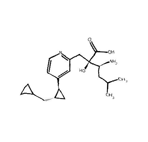 CC(C)C[C@H](N)[C@](O)(Cc1cc([C@H]2C[C@@H]2CC2CC2)ccn1)C(=O)O